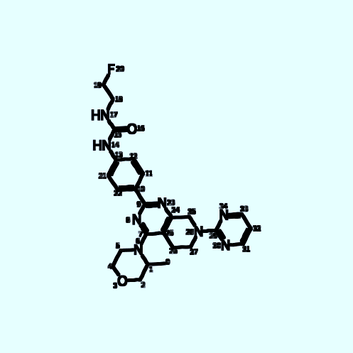 CC1COCCN1c1nc(-c2ccc(NC(=O)NCCF)cc2)nc2c1CCN(c1ncccn1)C2